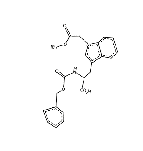 CC(C)(C)OC(=O)Cn1cc(CC(NC(=O)OCc2ccccc2)C(=O)O)c2ccccc21